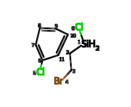 Cl[SiH2]CCBr.Clc1ccccc1